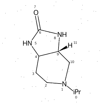 CC(C)N1CCC2NC(=O)N[C@@H]2C1